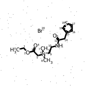 CCOC(=O)C[N+](C)(C)CCNC(=O)Cc1ccsc1.[Br-]